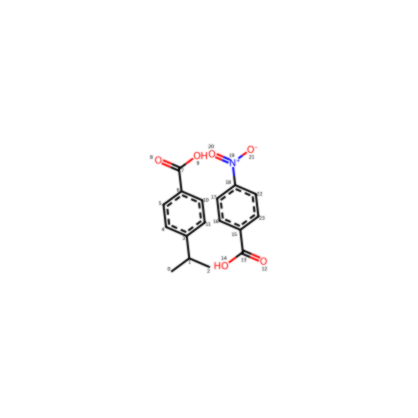 CC(C)c1ccc(C(=O)O)cc1.O=C(O)c1ccc([N+](=O)[O-])cc1